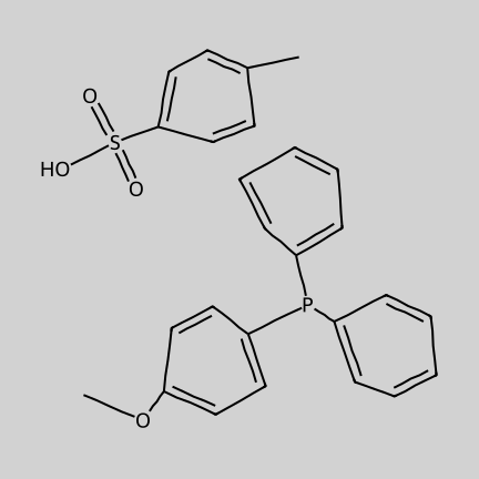 COc1ccc(P(c2ccccc2)c2ccccc2)cc1.Cc1ccc(S(=O)(=O)O)cc1